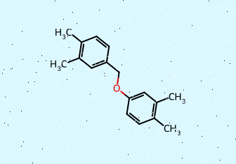 Cc1ccc(COc2ccc(C)c(C)c2)cc1C